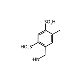 Cc1cc(C[NH])c(S(=O)(=O)O)cc1S(=O)(=O)O